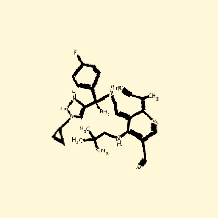 B[C@@](NC/C=c1/c(NCC(C)(C)C)c(C#N)cn/c1=C(\C)C#C)(C1=CN(C2CC2)NN1)c1ccc(F)cc1